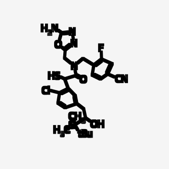 CC(C)(C)[Si](C)(C)C(O)Cc1ccc(Cl)c(C(S)C(=O)N(Cc2nnc(N)o2)Cc2ccc(C#N)cc2F)c1